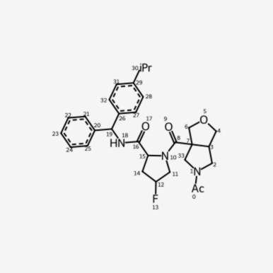 CC(=O)N1CC2COCC2(C(=O)N2CC(F)CC2C(=O)NC(c2ccccc2)c2ccc(C(C)C)cc2)C1